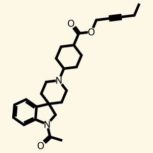 CCC#CCOC(=O)C1CCC(N2CCC3(CC2)CN(C(C)=O)c2ccccc23)CC1